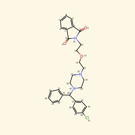 O=C1c2ccccc2C(=O)N1CCOCCN1CCN(C(c2ccccc2)c2ccc(Cl)cc2)CC1